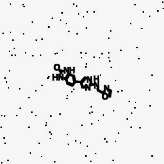 O=c1[nH]c2ccc(-c3cnc(NCc4ncco4)nc3)cc2[nH]1